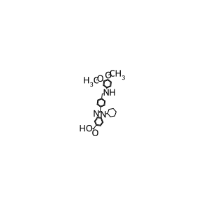 COc1ccc(NCc2ccc(-c3nc4cc(C(=O)O)ccc4n3C3CCCCC3)cc2)cc1OC